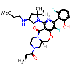 C=CC(=O)N1CCN2C(=O)c3c(N4CC(NCCOC)CC4(C)C)nc(-c4c(O)cccc4F)c(F)c3OC[C@H]2C1